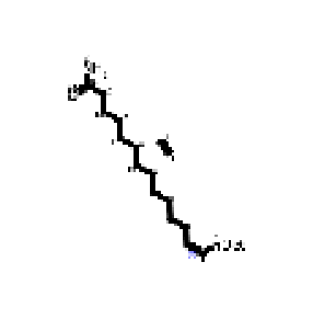 C=C.CCCCCCCC/C=C\CCCCCCCCCCCC(N)=O